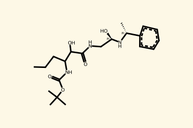 CCCC(NC(=O)OC(C)(C)C)C(O)C(=O)NC[C@@H](O)N[C@H](C)c1ccccc1